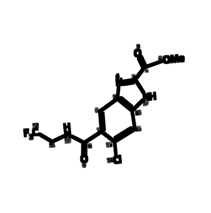 COC(=O)c1nc2cc(C(=O)NCC(F)(F)F)c(Cl)cc2[nH]1